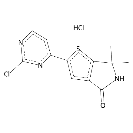 CC1(C)NC(=O)c2cc(-c3ccnc(Cl)n3)sc21.Cl